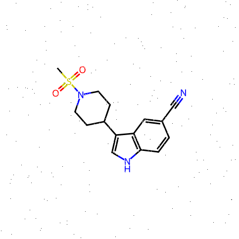 CS(=O)(=O)N1CCC(c2c[nH]c3ccc(C#N)cc23)CC1